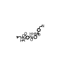 CC(C)N(C(=O)NCC1CC1)c1ccc(NC(=O)N2CCC[C@@H](NC(=O)c3ccc(CC#N)cc3)C2)cc1C=O